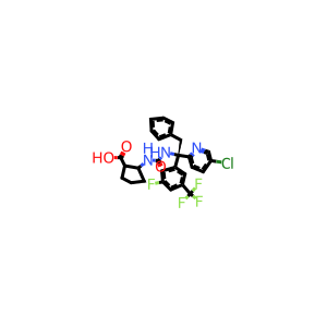 O=C(NC1CCCC1C(=O)O)N[C@@](Cc1ccccc1)(c1cc(F)cc(C(F)(F)F)c1)c1ccc(Cl)cn1